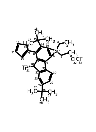 CC[Si]1(CC)c2c3c(c(C4=CC=CC4)c(C(C)(C)C)c21)[CH]([Ti+2])c1cc(C(C)(C)C)ccc1-3.[Cl-].[Cl-]